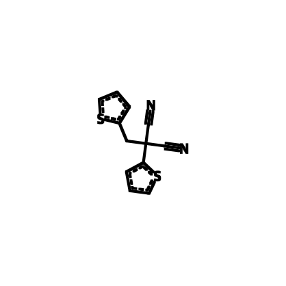 N#CC(C#N)(Cc1cccs1)c1cccs1